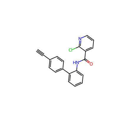 C#Cc1ccc(-c2ccccc2NC(=O)c2cccnc2Cl)cc1